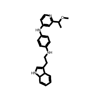 COC(C)c1cc(Nc2ccc(NCCC3=CNC4C=CC=CC34)cc2)ccn1